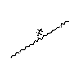 CCCCOCCCCCCCCC(CCCCCCCCOCCCC)O[Si](C)(C)C(C)(C)C